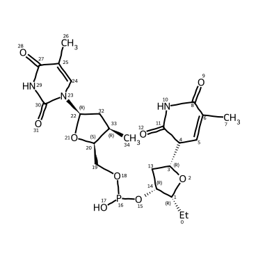 CC[C@H]1O[C@@H](C2C=C(C)C(=O)NC2=O)C[C@H]1OP(O)OC[C@H]1O[C@@H](n2cc(C)c(=O)[nH]c2=O)C[C@H]1C